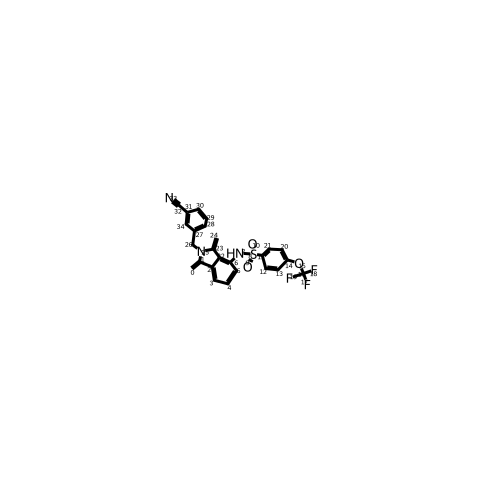 C=c1c2cccc(NS(=O)(=O)c3ccc(OC(F)(F)F)cc3)c2c(=C)n1Cc1cccc(C#N)c1